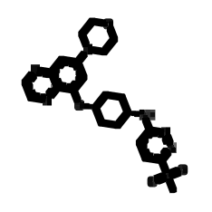 CS(=O)(=O)c1ccc(N[C@H]2CC[C@@H](Oc3cc(N4CCOCC4)cc4nccnc34)CC2)nn1